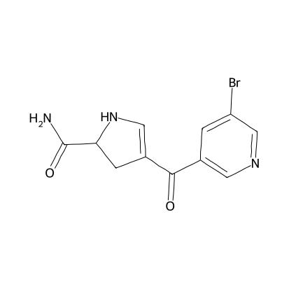 NC(=O)C1CC(C(=O)c2cncc(Br)c2)=CN1